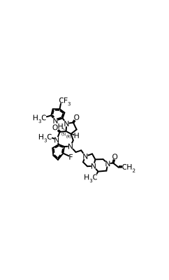 C=CC(=O)N1CC(C)N2CCN(CCN3C[C@H]4CC(=O)N(c5cc(C(F)(F)F)cc(C)n5)[C@@H]4C(=O)N(C)c4cccc(F)c43)CC2C1